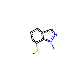 CSc1cccc2cnn(C)c12